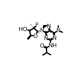 C=C1O[C@@H](n2cnc3c(N(C)C)nc(NC(=O)C(C)C)nc32)[C@](C)(F)[C@@H]1O